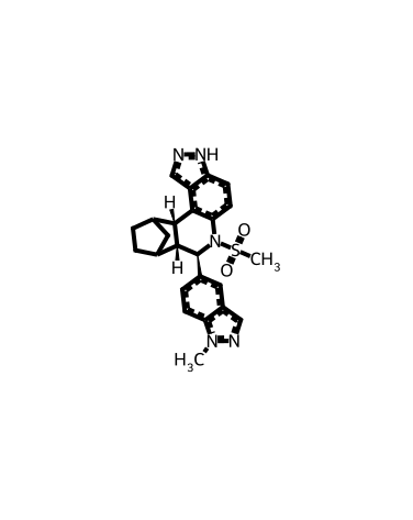 Cn1ncc2cc([C@H]3[C@@H]4C5CCC(C5)[C@@H]4c4c(ccc5[nH]ncc45)N3S(C)(=O)=O)ccc21